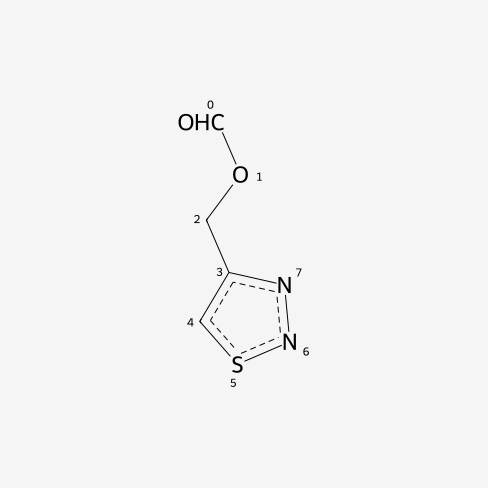 O=COCc1csnn1